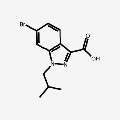 CC(C)Cn1nc(C(=O)O)c2ccc(Br)cc21